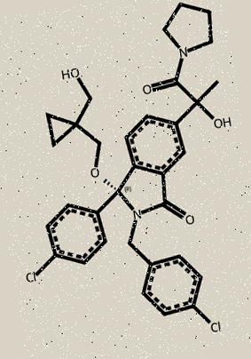 CC(O)(C(=O)N1CCCC1)c1ccc2c(c1)C(=O)N(Cc1ccc(Cl)cc1)[C@@]2(OCC1(CO)CC1)c1ccc(Cl)cc1